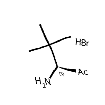 Br.CC(=O)[C@@H](N)C(C)(C)C